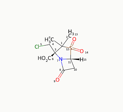 CC1(C)[C@](CCl)(C(=O)O)N2C(=O)C[C@H]2S1(=O)=O